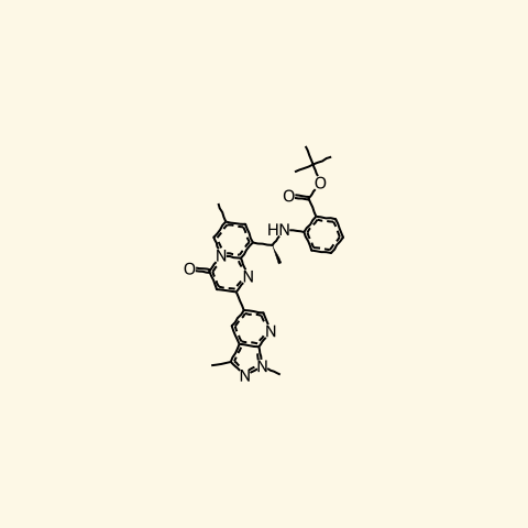 Cc1cc([C@H](C)Nc2ccccc2C(=O)OC(C)(C)C)c2nc(-c3cnc4c(c3)c(C)nn4C)cc(=O)n2c1